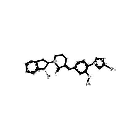 COc1cc(/C=C2\CCCN([C@@H]3Cc4ccccc4[C@H]3O)C2=O)ccc1-n1cnc(C)c1